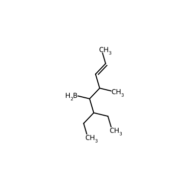 BC(C(C)C=CC)C(CC)CC